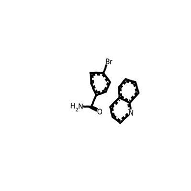 NC(=O)c1ccc(Br)cc1.c1ccc2ncccc2c1